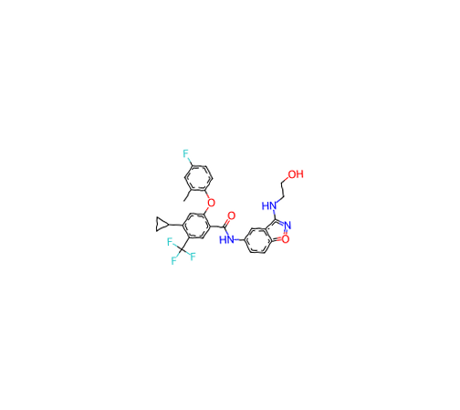 Cc1cc(F)ccc1Oc1cc(C2CC2)c(C(F)(F)F)cc1C(=O)Nc1ccc2onc(NCCO)c2c1